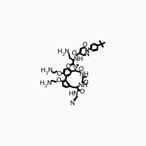 CC1NC(=O)C(N(C)C(=O)C(CCN)NC(=O)c2cnn(-c3ccc(C(C)(C)C)cc3)c(=O)c2)c2ccc(OCCN)c(c2)-c2cc(ccc2OCCN)CC(C(=O)NCC#N)NC1=O